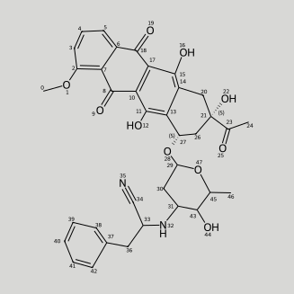 COc1cccc2c1C(=O)c1c(O)c3c(c(O)c1C2=O)C[C@@](O)(C(C)=O)C[C@@H]3OC1CC(NC(C#N)Cc2ccccc2)C(O)C(C)O1